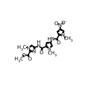 COC(=O)c1nc(NC(=O)c2cc(NC(=O)c3cc([N+](=O)[O-])cn3C)cn2C)cn1C